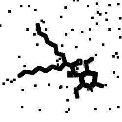 CCCCCCCC(CCCCCCC)C(=O)Nc1c(SC)cc(C)nc1SC